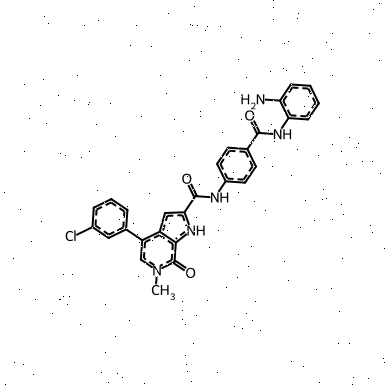 Cn1cc(-c2cccc(Cl)c2)c2cc(C(=O)Nc3ccc(C(=O)Nc4ccccc4N)cc3)[nH]c2c1=O